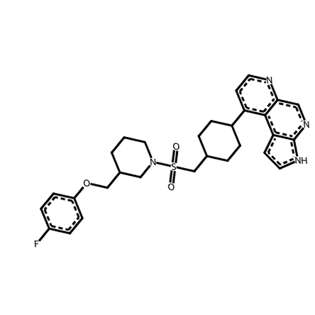 O=S(=O)(CC1CCC(c2ccnc3cnc4[nH]ccc4c23)CC1)N1CCCC(COc2ccc(F)cc2)C1